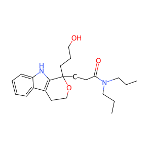 CCCN(CCC)C(=O)CCC1(CCCO)OCCc2c1[nH]c1ccccc21